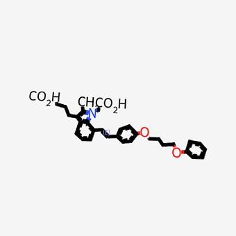 Cc1c(CCCC(=O)O)c2cccc(/C=C/c3ccc(OCCCCOc4ccccc4)cc3)c2n1CC(=O)O